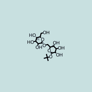 CC(C)(C)O[C@H]1OC(CO[C@H]2OC(CO)[C@@H](O)C(O)C2O)[C@@H](O)C(O)C1O